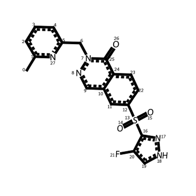 Cc1cccc(Cn2ncc3cc(S(=O)(=O)c4n[nH]cc4F)ccc3c2=O)n1